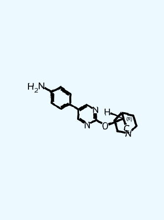 Nc1ccc(-c2cnc(O[C@H]3CN4CCC3CC4)nc2)cc1